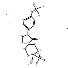 O=C1N(c2ccc(OC(F)(F)F)cc2)CC[C@]12CC[C@@](O)(C(F)(F)F)CC2